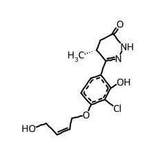 C[C@@H]1CC(=O)NN=C1c1ccc(OC/C=C\CO)c(Cl)c1O